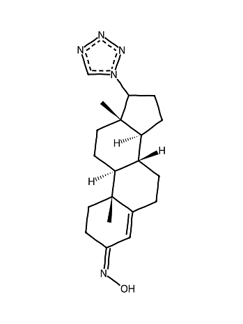 C[C@]12CC/C(=N/O)C=C1CC[C@@H]1[C@@H]2CC[C@]2(C)C(n3cnnn3)CC[C@@H]12